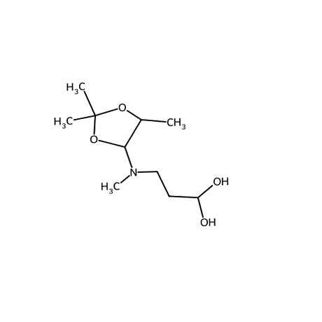 CC1OC(C)(C)OC1N(C)CCC(O)O